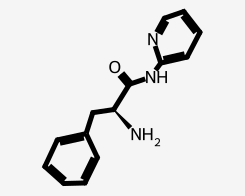 N[C@@H](Cc1ccccc1)C(=O)Nc1ccccn1